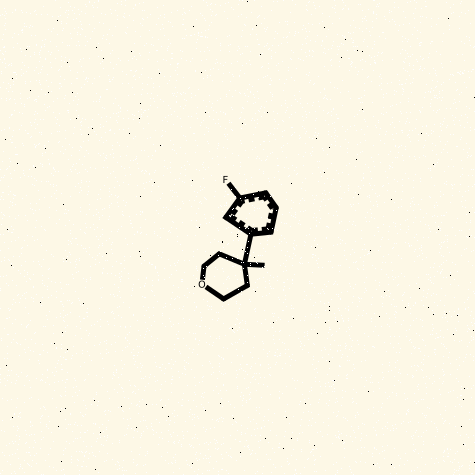 CC1(c2cccc(F)c2)CCOCC1